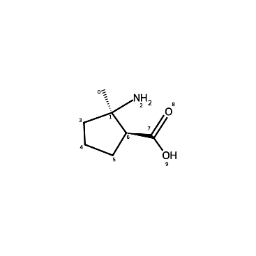 C[C@@]1(N)CCC[C@@H]1C(=O)O